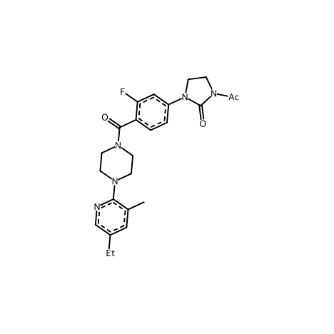 CCc1cnc(N2CCN(C(=O)c3ccc(N4CCN(C(C)=O)C4=O)cc3F)CC2)c(C)c1